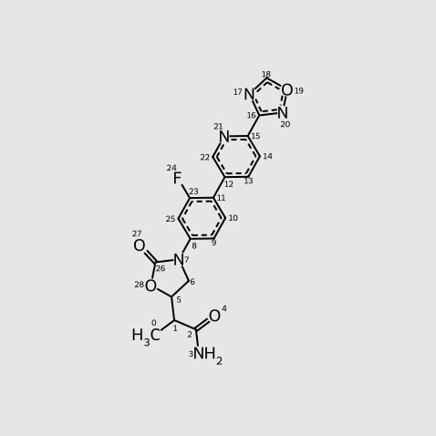 CC(C(N)=O)C1CN(c2ccc(-c3ccc(-c4ncon4)nc3)c(F)c2)C(=O)O1